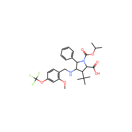 COc1cc(OC(F)(F)F)ccc1CNC1C(c2ccccc2)N(C(=O)OC(C)C)C(C(=O)O)C1C(C)(C)C